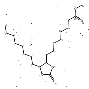 CCCCCCCCC1OC(=O)OC1CCCCCCCC(=O)OC